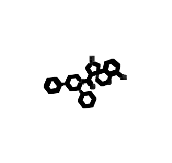 CCc1cccc2c1OCC[C@]21CNCC1C(=O)N1CC[C@@H](c2ccccc2)C[C@H]1C1CCCCC1